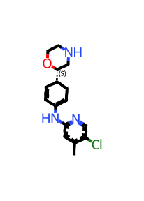 Cc1cc(NC2=CCC([C@H]3CNCCO3)C=C2)ncc1Cl